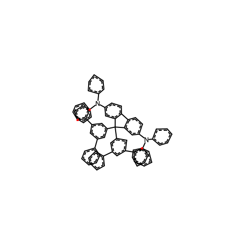 c1ccc(-c2cc(-c3ccccc3)cc(C3(c4cc(-c5ccccc5)cc(-c5ccccc5)c4)c4cc(N(c5ccccc5)c5ccccc5)ccc4-c4ccc(N(c5ccccc5)c5ccccc5)cc43)c2)cc1